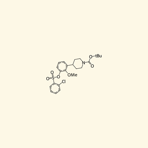 COc1c(OS(=O)(=O)c2ccccc2Cl)cccc1C1CCN(C(=O)OC(C)(C)C)CC1